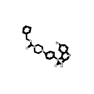 O=C(OCc1ccccc1)N1CCN(c2ccc(-n3c(=O)[nH]c4cnc5ccc(Br)cc5c43)cc2)CC1